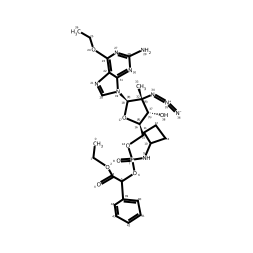 CCOC(=O)C(OP(=O)(NC1CCC1)OC[C@H]1O[C@@H](n2cnc3c(OCC)nc(N)nc32)[C@](C)(N=[N+]=[N-])[C@@H]1O)c1ccccc1